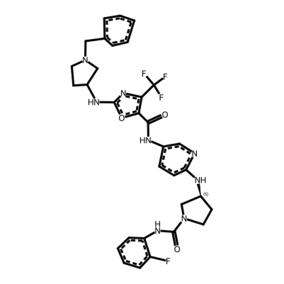 O=C(Nc1ccc(N[C@H]2CCN(C(=O)Nc3ccccc3F)C2)nc1)c1oc(NC2CCN(Cc3ccccc3)C2)nc1C(F)(F)F